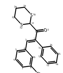 O=C(/C(=C/c1cccc(Cl)c1)c1ccccc1)C1SCCCS1